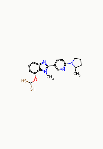 CC1CCCN1c1ccc(-c2nc3cccc(OC(S)S)c3n2C)cn1